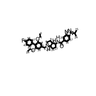 CCOc1cc(CN2CC[C@H]3C(NC(=O)c4ccc5c(c4)nnn5C(C)C)CC[C@H]32)cc(OCC)c1-c1ccc(F)cc1